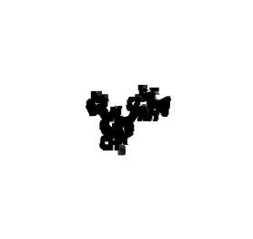 Cc1cc(-c2ccns2)nc2c(C(=O)NC(C3CC3)C(F)(F)F)cnn12